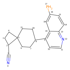 N#CC1CCC12CCC(c1ccnc3ccc(P)cc13)CC2